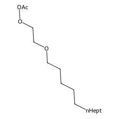 CCCCCCCCCCCCOCCOOC(C)=O